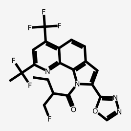 CCC(CF)C(=O)n1c(-c2nnco2)cc2ccc3c(C(F)(F)F)cc(C(C)(F)F)nc3c21